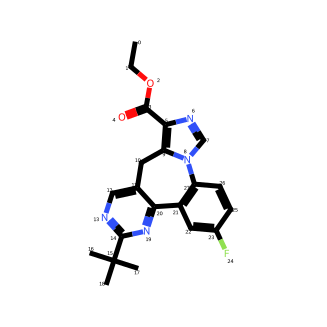 CCOC(=O)c1ncn2c1Cc1cnc(C(C)(C)C)nc1-c1cc(F)ccc1-2